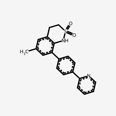 Cc1cc2c(c(-c3ccc(-c4ccccn4)cc3)c1)NS(=O)(=O)CC2